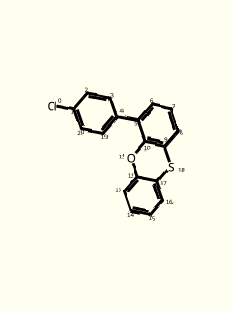 Clc1ccc(-c2cccc3c2Oc2ccccc2S3)cc1